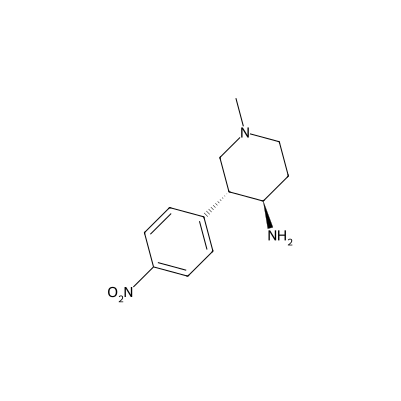 CN1CC[C@@H](N)[C@H](c2ccc([N+](=O)[O-])cc2)C1